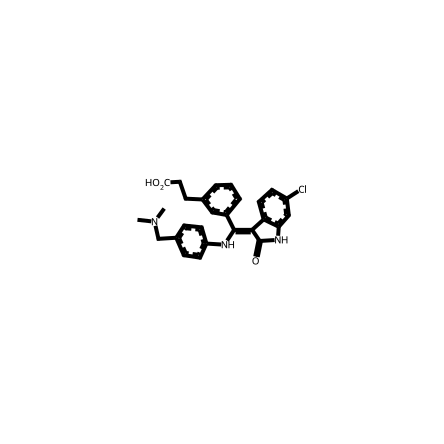 CN(C)Cc1ccc(N/C(=C2\C(=O)Nc3cc(Cl)ccc32)c2cccc(CCC(=O)O)c2)cc1